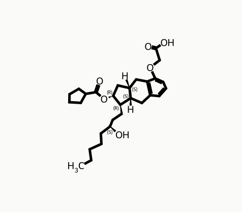 CCCCC[C@H](O)CC[C@@H]1[C@H]2Cc3cccc(OCC(=O)O)c3C[C@H]2C[C@H]1OC(=O)C1CCCC1